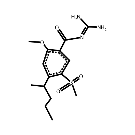 CCCC(C)c1cc(OC)c(C(=O)N=C(N)N)cc1S(C)(=O)=O